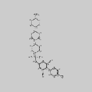 CC1CCC(C2COC(C3CCC(C(F)(F)Oc4cc(F)c(-c5ccc(Cl)cc5)c(F)c4)CC3)OC2)CC1